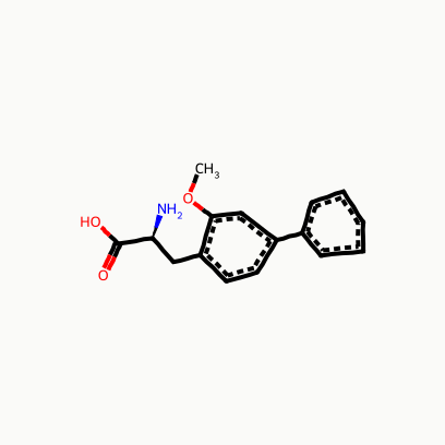 COc1cc(-c2ccccc2)ccc1C[C@H](N)C(=O)O